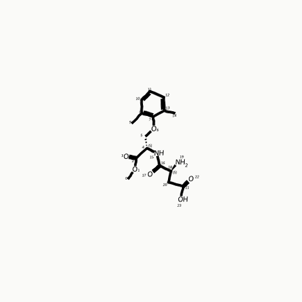 COC(=O)[C@H](COc1c(C)cccc1C)NC(=O)[C@@H](N)CC(=O)O